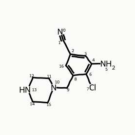 N#Cc1cc(N)c(Cl)c(CN2CCNCC2)c1